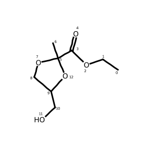 CCOC(=O)C1(C)OCC(CO)O1